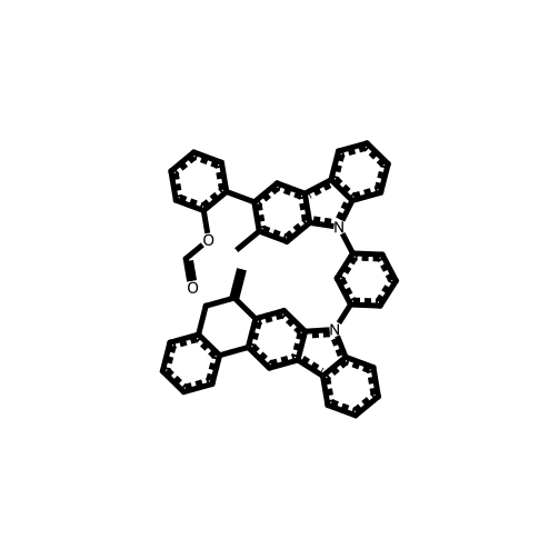 C=C1Cc2ccccc2-c2cc3c4ccccc4n(-c4cccc(-n5c6ccccc6c6cc(-c7ccccc7OC=O)c(C)cc65)c4)c3cc21